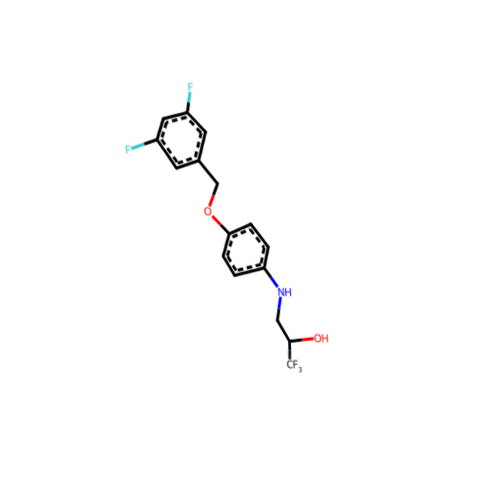 OC(CNc1ccc(OCc2cc(F)cc(F)c2)cc1)C(F)(F)F